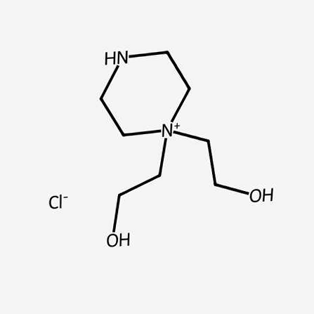 OCC[N+]1(CCO)CCNCC1.[Cl-]